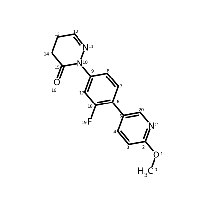 COc1ccc(-c2ccc(N3N=CCCC3=O)cc2F)cn1